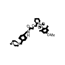 COc1cc(C)c(S(=O)(=O)N2CCCCC2COCC(=O)NCc2ccc(CN3CCN(C)CC3)cc2)c(C)c1